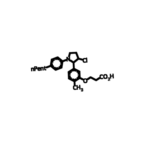 CCCCCc1ccc(N2CCC(Cl)C2c2ccc(C)c(OCCC(=O)O)c2)cc1